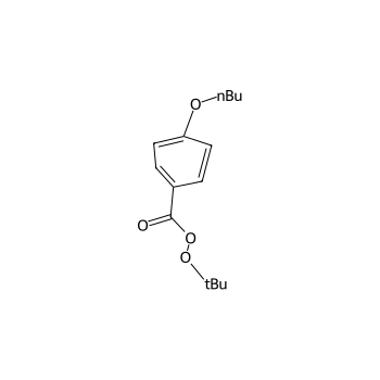 CCCCOc1ccc(C(=O)OOC(C)(C)C)cc1